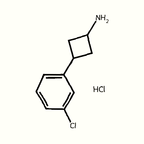 Cl.NC1CC(c2cccc(Cl)c2)C1